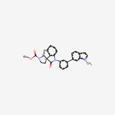 CC(C)[C@@H]1N(C(=O)OC(C)(C)C)CC[C@@]12C(=O)N(c1cccc(-c3ccc4ccn(C)c4c3)c1)c1ccccc12